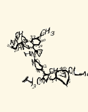 COc1ccc(Cn2nc(C)c(-c3ccc(NC(=O)[C@@H](NC(=O)c4ccnn4C)C4CCC(C)CC4)nc3)c2C)cc1